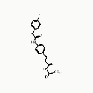 CCC(NC(=O)OCc1ccc(NC(=O)Cc2ccc(F)cc2)cc1)C(=O)O